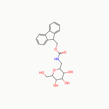 O=C(NCC1OC(CO)C(O)C(O)C1O)OCC1c2ccccc2-c2ccccc21